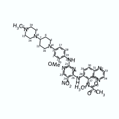 COc1cc(N2CCC(N3CCN(C)CC3)CC2)ccc1Nc1ncc([N+](=O)[O-])c(Nc2ccc3nccnc3c2N(C)S(C)(=O)=O)n1